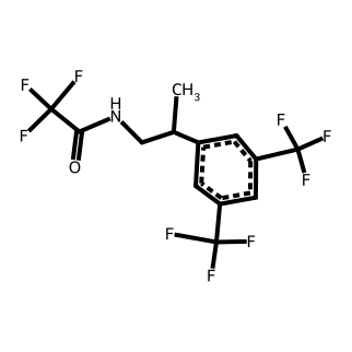 CC(CNC(=O)C(F)(F)F)c1cc(C(F)(F)F)cc(C(F)(F)F)c1